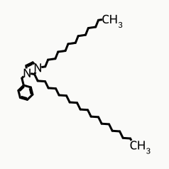 CCCCCCCCCCCCCCCCCCCC1N(CCCCCCCCCCCCC)C=CN1Cc1ccccc1